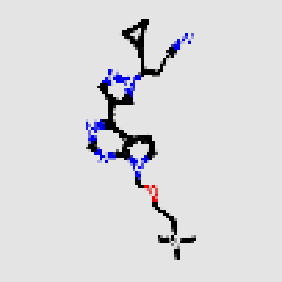 C[Si](C)(C)CCOCn1ccc2c(-c3cnn(C(CC#N)C4CC4)c3)ncnc21